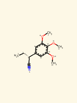 CC[C@@H](C#N)c1cc(OC)c(OC)c(OC)c1